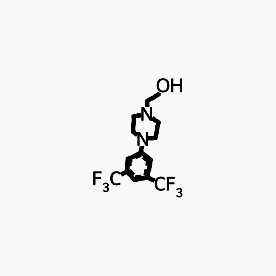 OCCN1CCN(c2cc(C(F)(F)F)cc(C(F)(F)F)c2)CC1